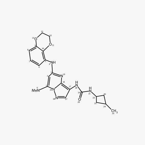 CNc1cc(Nc2cccc3c2OCCO3)nc2c(NC(=O)NC3CC(C)C3)cnn12